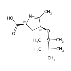 CC1=N[C@H](C(=O)O)C[C@@H]1O[Si](C)(C)C(C)(C)C